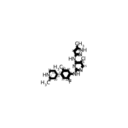 Cc1cc(Nc2nc(Nc3cc(C)c([C@H]4CCN[C@@H](C)C4)cc3F)ncc2Cl)n[nH]1